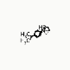 CCC(C)c1ccc(N2BCCO2)cc1